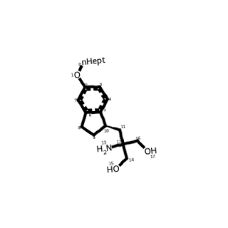 CCCCCCCOc1ccc2c(c1)CC[C@@H]2CC(N)(CO)CO